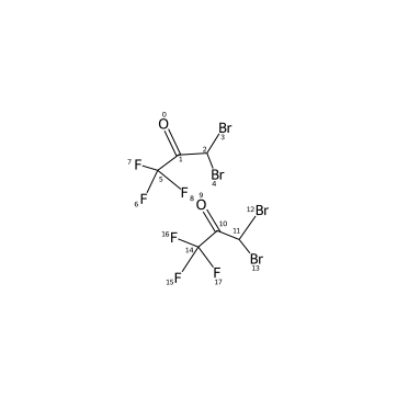 O=C(C(Br)Br)C(F)(F)F.O=C(C(Br)Br)C(F)(F)F